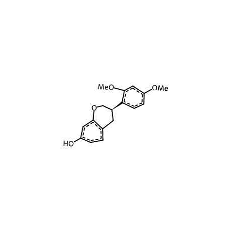 COc1ccc([C@@H]2COc3cc(O)ccc3C2)c(OC)c1